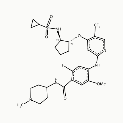 COc1cc(C(=O)NC2CCN(C)CC2)c(F)cc1Nc1ncc(C(F)(F)F)c(O[C@@H]2CCC[C@H]2NS(=O)(=O)C2CC2)n1